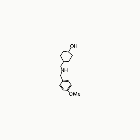 COc1ccc(CNCC2CCC(O)CC2)cc1